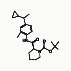 Cc1cc(C(C)C2CC2)ccc1NC(=O)[C@@H]1CCCCN1C(=O)OC(C)(C)C